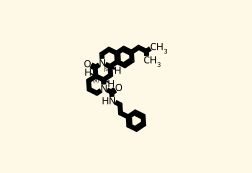 CC(C)Cc1ccc2c(c1)CCN1C(=O)[C@@H]3CCCN(C(=O)NCCc4ccccc4)[C@@H]3C[C@@H]21